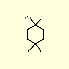 CC(C)(C)C1(F)CCC(F)(F)CC1